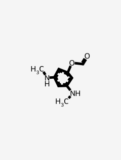 CNc1cc(NC)cc(OC=O)c1